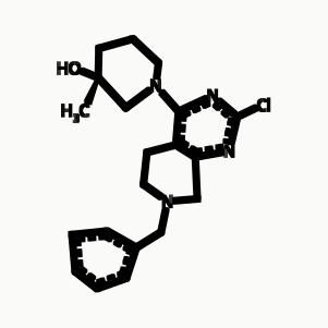 C[C@@]1(O)CCCN(c2nc(Cl)nc3c2CCN(Cc2ccccc2)C3)C1